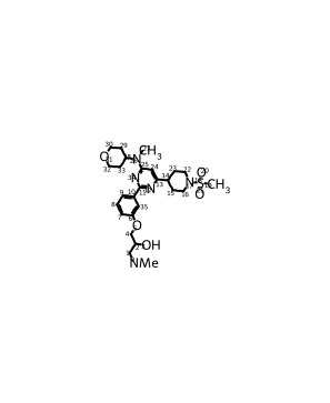 CNCC(O)COc1cccc(-c2nc(C3CCN(S(C)(=O)=O)CC3)cc(N(C)C3CCOCC3)n2)c1